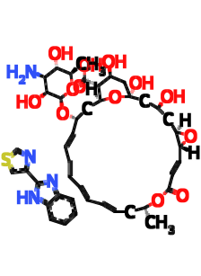 C[C@@H]1C/C=C/C=C/C=C/C=C/[C@H](O[C@@H]2O[C@H](C)[C@@H](O)[C@H](N)[C@@H]2O)C[C@@H]2O[C@](O)(C[C@@H](O)C[C@H]3O[C@@H]3/C=C/C(=O)O1)C[C@H](O)[C@H]2C(=O)O.c1ccc2[nH]c(-c3cscn3)nc2c1